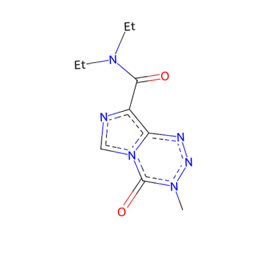 CCN(CC)C(=O)c1ncn2c(=O)n(C)nnc12